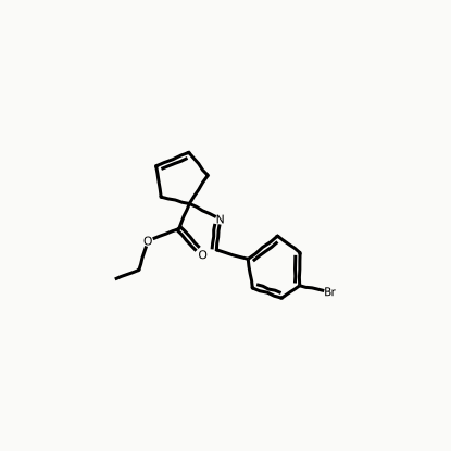 CCOC(=O)C1(N=Cc2ccc(Br)cc2)CC=CC1